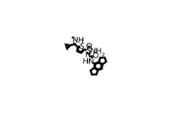 CNC(c1ccc(S(N)(=O)=NC(=O)Nc2c3c(cc4c2CCC4)CCC3)s1)C1CC1